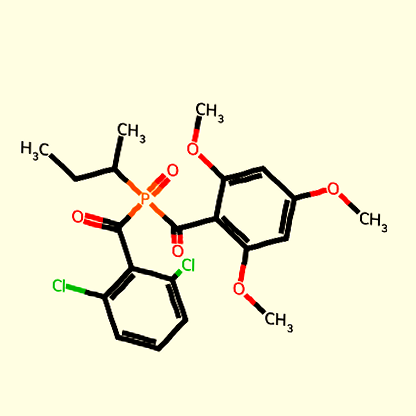 CCC(C)P(=O)(C(=O)c1c(Cl)cccc1Cl)C(=O)c1c(OC)cc(OC)cc1OC